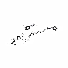 COc1cc(/C=C/C(=O)O)ccc1O.COc1cc(/C=C/C(=O)SCCNC(=O)CCNC(=O)C(O)C(C)(C)COP(=O)(O)OP(=O)(O)OC[C@H]2O[C@@H](n3cnc4c(N)ncnc43)[C@H](O)[C@@H]2OP(=O)(O)O)ccc1O